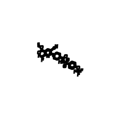 CCOC(=O)c1cc(C#N)c(N2CCC(C(=O)NS(=O)(=O)c3ccc(OC(F)(F)F)cc3)CC2)nc1C(F)F